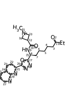 CCC(=O)CCCCC[C@H](NC(=O)C1CN(C)C1)c1nnc(-c2ccc3cccnc3n2)o1